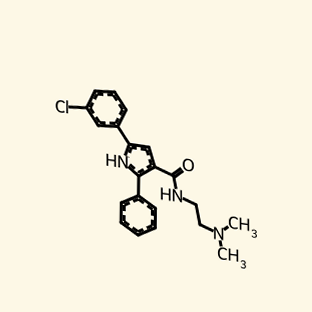 CN(C)CCNC(=O)c1cc(-c2cccc(Cl)c2)[nH]c1-c1ccccc1